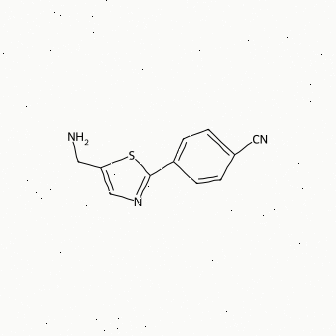 N#Cc1ccc(-c2ncc(CN)s2)cc1